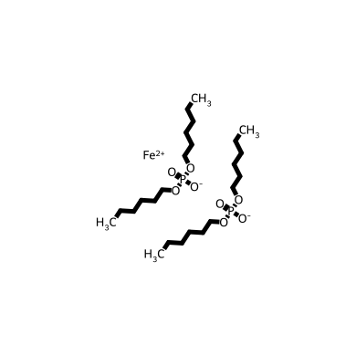 CCCCCCOP(=O)([O-])OCCCCCC.CCCCCCOP(=O)([O-])OCCCCCC.[Fe+2]